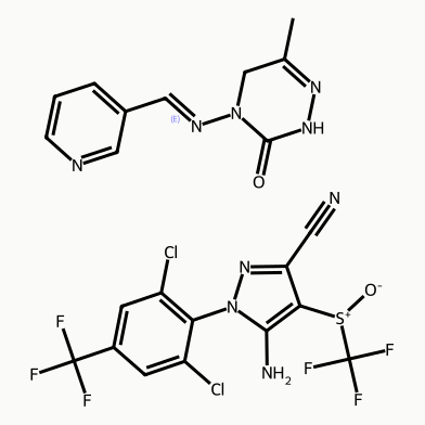 CC1=NNC(=O)N(/N=C/c2cccnc2)C1.N#Cc1nn(-c2c(Cl)cc(C(F)(F)F)cc2Cl)c(N)c1[S+]([O-])C(F)(F)F